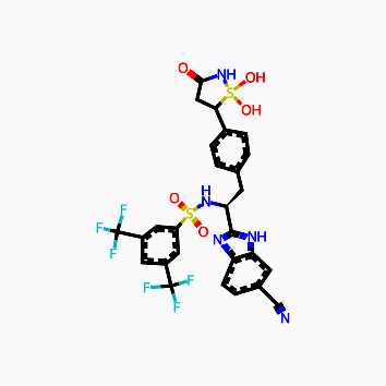 N#Cc1ccc2nc([C@H](Cc3ccc(C4CC(=O)NS4(O)O)cc3)NS(=O)(=O)c3cc(C(F)(F)F)cc(C(F)(F)F)c3)[nH]c2c1